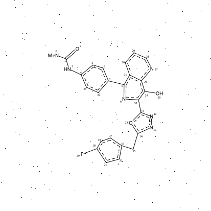 CNC(=O)Nc1ccc(-c2nc(-c3nnc(Cc4ccc(F)cc4)o3)c(O)c3ncccc23)cc1